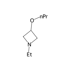 CCCOC1CN(CC)C1